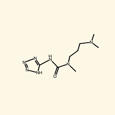 CN(C)CCCN(C)C(=O)Nc1nnn[nH]1